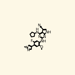 COc1cc(-c2cnn(C)c2)c(F)cc1Nc1nc(NC2CCCC2)c2c(C#N)c[nH]c2n1